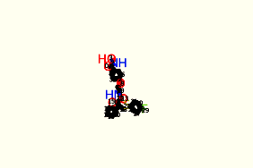 O=C(NO)c1ccc(OCCNC(=O)c2oc3ccccc3c2CSc2ccc(F)cc2)cc1